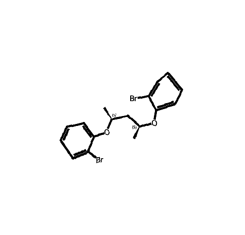 C[C@@H](C[C@H](C)Oc1ccccc1Br)Oc1ccccc1Br